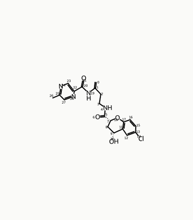 C=C(CCNC(=O)[C@H]1C[C@@H](O)c2cc(Cl)ccc2O1)NC(=O)c1cnc(C)cn1